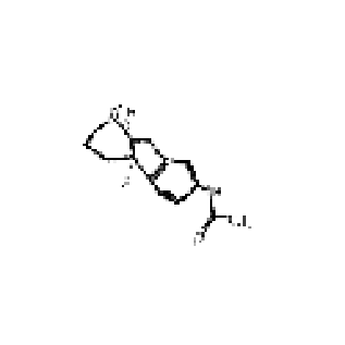 CC(=O)Nc1ccc2c(c1)C[C@@H]1NCCC[C@H]21